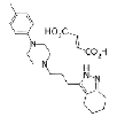 Cc1ccc(N2CCN(CCCc3[nH]nc4c3CCCC4)CC2)cc1.O=C(O)C=CC(=O)O